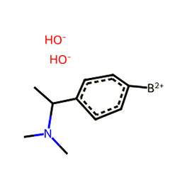 [B+2]c1ccc(C(C)N(C)C)cc1.[OH-].[OH-]